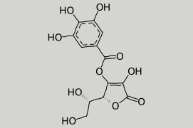 O=C1O[C@H]([C@@H](O)CO)C(OC(=O)c2cc(O)c(O)c(O)c2)=C1O